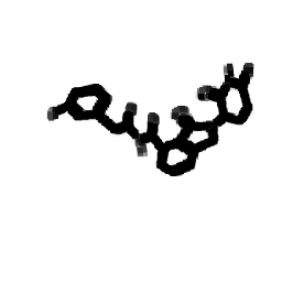 O=C(Cc1cccc(Cl)c1)NC(=O)c1cccc2c1C(=O)N(C1CCC(=O)NC1=O)C2